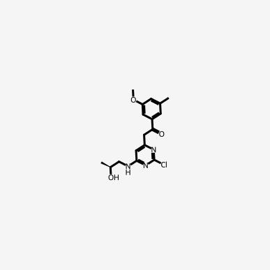 COc1cc(C)cc(C(=O)Cc2cc(NC[C@H](C)O)nc(Cl)n2)c1